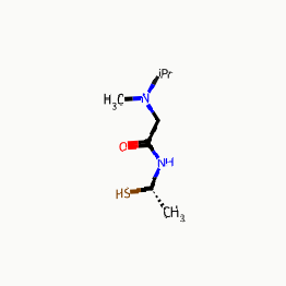 CC(C)N(C)CC(=O)N[C@H](C)S